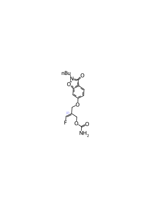 CCCCn1oc2cc(OC/C(=C/F)COC(N)=O)ccc2c1=O